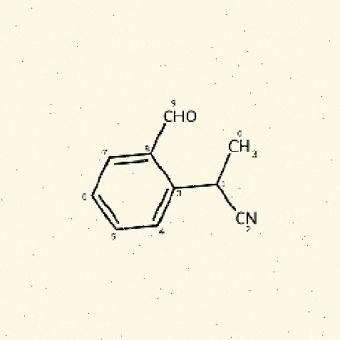 CC(C#N)c1ccccc1C=O